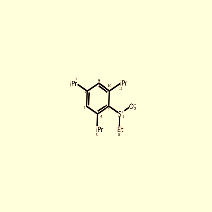 CC[S+]([O-])c1c(C(C)C)cc(C(C)C)cc1C(C)C